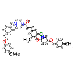 COc1ccc(OCCc2ccc(CN3CCN(C(=O)/C=C/c4cc(C)c(Oc5ccc(OCc6ccc(C)cc6)cn5)c(Cl)c4)CC3)cc2)cc1